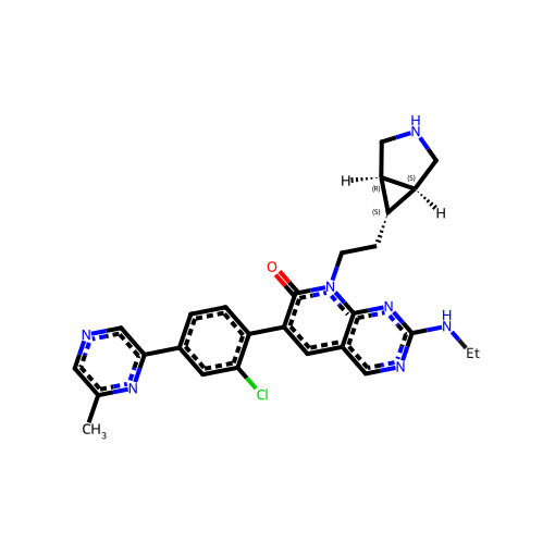 CCNc1ncc2cc(-c3ccc(-c4cncc(C)n4)cc3Cl)c(=O)n(CC[C@@H]3[C@H]4CNC[C@@H]34)c2n1